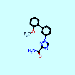 NC(=O)c1ncn(-c2cccc(-c3ccccc3OC(F)(F)F)c2)n1